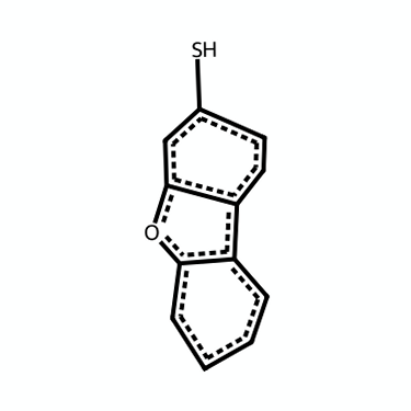 Sc1ccc2c(c1)oc1ccccc12